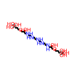 OC(CNCCNCCNCCNCCNCC(O)COCCC[Si](O)(O)O)COCCC[Si](O)(O)O